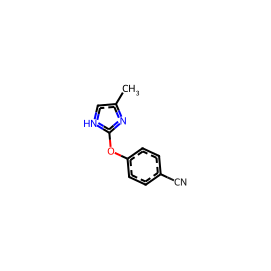 Cc1c[nH]c(Oc2ccc(C#N)cc2)n1